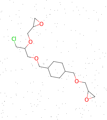 ClCC(COCC1CCC(COCC2CO2)CC1)OCC1CO1